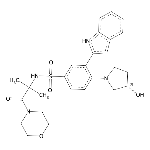 CC(C)(NS(=O)(=O)c1ccc(N2CC[C@H](O)C2)c(-c2cc3ccccc3[nH]2)c1)C(=O)N1CCOCC1